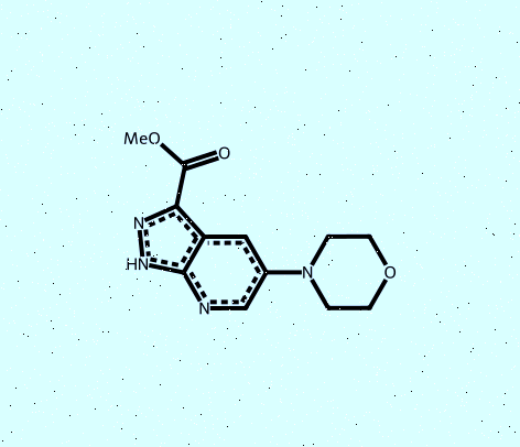 COC(=O)c1n[nH]c2ncc(N3CCOCC3)cc12